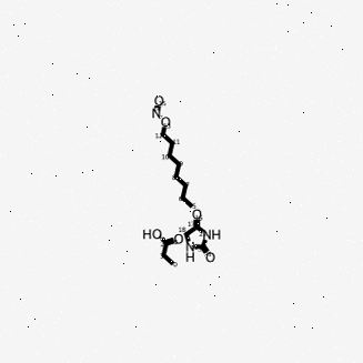 CCC(=O)O.CCCCCCCCON=O.O=C1CNC(=O)N1